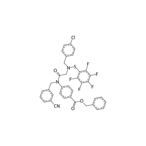 N#Cc1cccc(CN(C(=O)CN(Cc2ccc(Cl)cc2)Sc2c(F)c(F)c(F)c(F)c2F)c2ccc(C(=O)OCc3ccccc3)cc2)c1